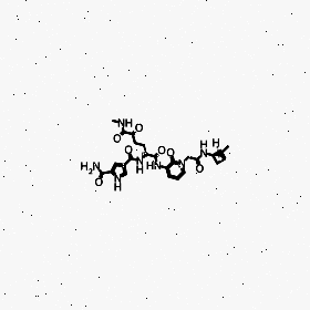 CNC(=O)C(=O)CC[C@H](NC(=O)c1c[nH]c(C(N)=O)c1)C(=O)Nc1cccn(CC(=O)NC23CC(C2)[C@@H]3C)c1=O